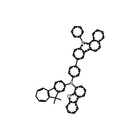 CC1(C)C2=C(C=CCC=C2)c2ccc(N(c3ccc(-c4ccc5c(c4)c4ccc6ccccc6c4n5-c4ccccc4)cc3)c3cccc4c3oc3ccccc34)cc21